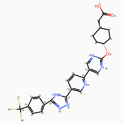 O=C(O)C[C@H]1CC[C@H](Oc2ncc(-c3ccc(-c4nnc(-c5ccc(C(F)(F)F)cc5)[nH]4)cn3)cn2)CC1